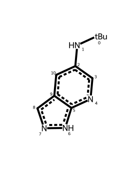 CC(C)(C)Nc1cnc2[nH]ncc2c1